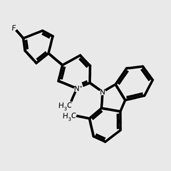 Cc1cccc2c3ccccc3n(-c3ccc(-c4ccc(F)cc4)c[n+]3C)c12